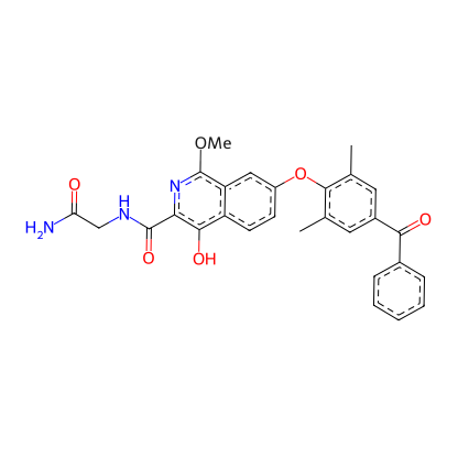 COc1nc(C(=O)NCC(N)=O)c(O)c2ccc(Oc3c(C)cc(C(=O)c4ccccc4)cc3C)cc12